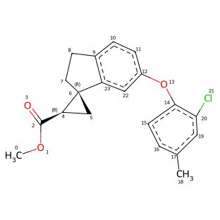 COC(=O)[C@@H]1C[C@]12CCc1ccc(Oc3ccc(C)cc3Cl)cc12